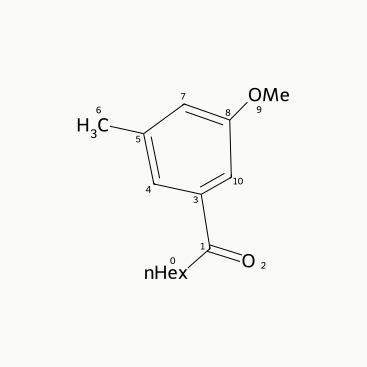 CCCCCCC(=O)c1cc(C)cc(OC)c1